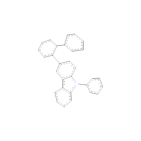 c1ccc(-c2ccccc2-c2ccc3c(c2)c2ccccc2n3-c2ccccc2)cc1